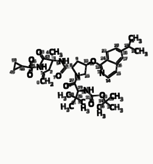 C=CC[C@](C)(NC(=O)[C@@H]1C[C@@H](Oc2nccc3cc(C(C)C)ccc23)CN1C(=O)[C@@H](NC(=O)OC(C)(C)C)C(C)(C)C)C(=O)NS(=O)(=O)C1CC1